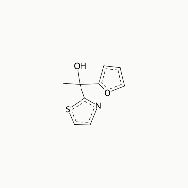 CC(O)(c1ccco1)c1nccs1